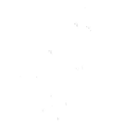 Cc1ccn(-c2ccnc(C(O)c3cc(F)cc(C(F)(F)F)c3)c2)n1